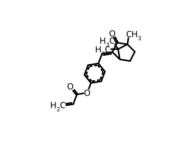 C=CC(=O)Oc1ccc(C=C2C(=O)C3(C)CCC2C3(C)C)cc1